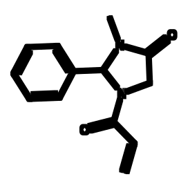 C=CC(=O)N1CC(=O)N(C)C1c1ccccc1